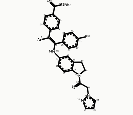 COC(=O)c1ccc(/C(C(C)=O)=C(/Nc2ccc3c(c2)CCN3C(=O)Cn2cccn2)c2ccc(F)cc2)cc1